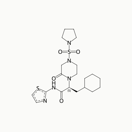 O=C(Nc1nccs1)[C@H](CC1CCCCC1)N1CCN(S(=O)(=O)N2CCCC2)CC1=O